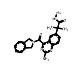 CC(C)(C)NC(=O)C(C)(C)c1ccc2nc(N)nc(C(=O)N3Cc4ccccc4C3)c2c1